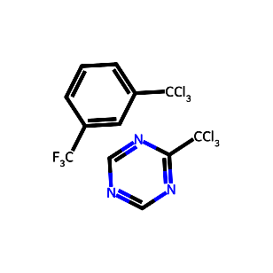 ClC(Cl)(Cl)c1ncncn1.FC(F)(F)c1cccc(C(Cl)(Cl)Cl)c1